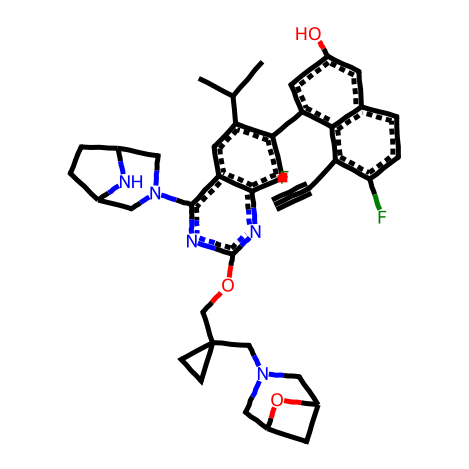 C#Cc1c(F)ccc2cc(O)cc(-c3c(C(C)C)cc4c(N5CC6CCC(C5)N6)nc(OCC5(CN6CC7CC(C6)O7)CC5)nc4c3F)c12